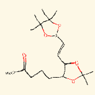 COC(=O)CCCC1OC(C)(C)OC1/C=C/B1OC(C)(C)C(C)(C)O1